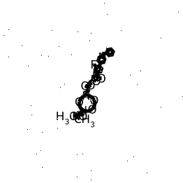 CN(C)CC(=O)N1CCOCCOCCN(CCC(=O)OCC2CN(c3ccc(C4=CCN(Cc5ccccc5)CC4)c(F)c3)C(=O)O2)CCOCC1